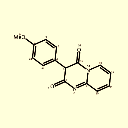 COc1ccc(C2C(=O)N=C3C=CC=CN3C2=O)cc1